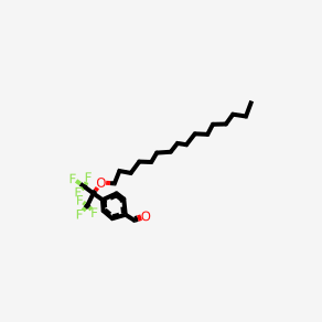 CCCCCCCCCCCCCCCCOC(c1ccc(C=O)cc1)(C(F)(F)F)C(F)(F)F